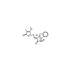 COC1=C(C)C(=O)O[C@H]1O/C=C1/C(=O)N[C@@H]2c3ccccc3C[C@H]12